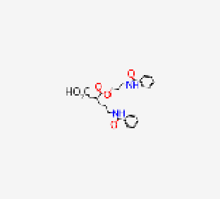 O=C(O)C=C(CCCNC(=O)c1ccccc1)C(=O)OCCCNC(=O)c1ccccc1